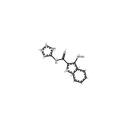 CC(=O)Nc1c(C(=O)Nc2nnn[nH]2)oc2ccccc12